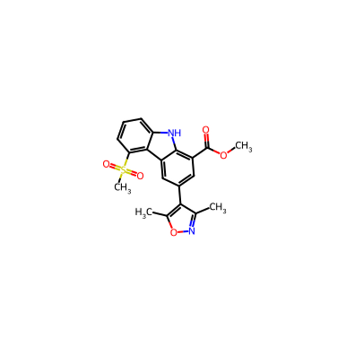 COC(=O)c1cc(-c2c(C)noc2C)cc2c1[nH]c1cccc(S(C)(=O)=O)c12